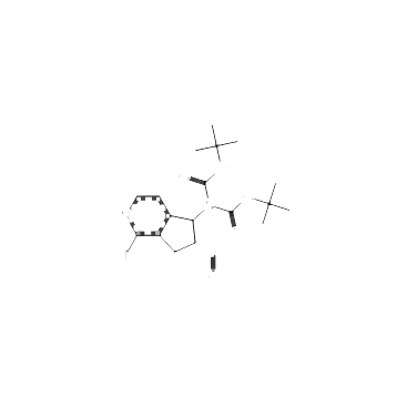 CC(C)(C)OC(=O)N(C(=O)OC(C)(C)C)C1c2ccnc(Cl)c2C[C@H]1C=O